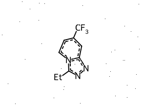 CCc1nnc2cc(C(F)(F)F)ccn12